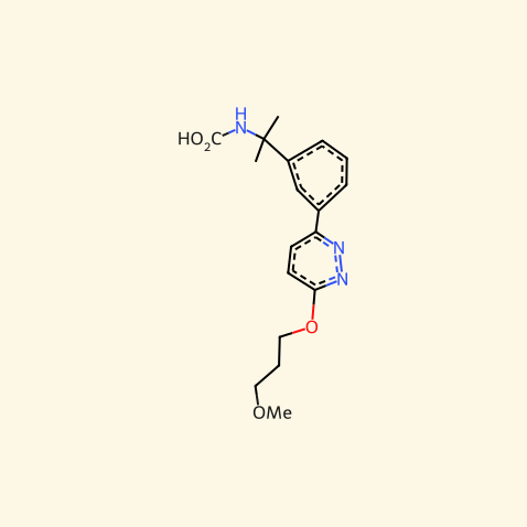 COCCCOc1ccc(-c2cccc(C(C)(C)NC(=O)O)c2)nn1